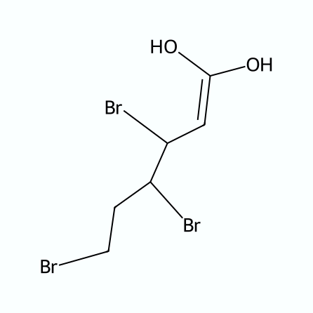 OC(O)=CC(Br)C(Br)CCBr